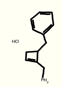 Cl.PCC1=CCC1Cc1ccccc1